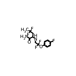 CC(F)(F)CC(NCC(F)(F)Oc1ccc(F)cc1)C(N)=O